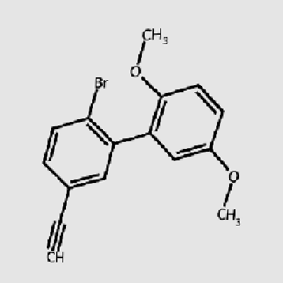 C#Cc1ccc(Br)c(-c2cc(OC)ccc2OC)c1